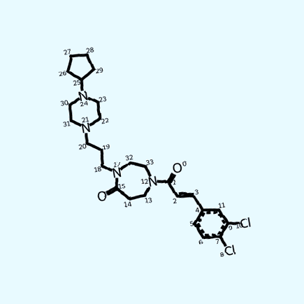 O=C(C=Cc1ccc(Cl)c(Cl)c1)N1CCC(=O)N(CCCN2CCN(C3CCCC3)CC2)CC1